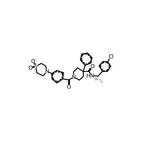 C[C@H](NC(=O)C1(c2ccccc2)CCN(C(=O)c2ccc(N3CCS(=O)(=O)CC3)cc2)CC1)c1ccc(Cl)cc1